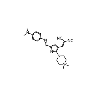 [C-]#[N+]/C(C#N)=C/c1sc(/N=N/c2ccc(N(C)C)cc2)nc1N1CC[N+](C)(C)CC1